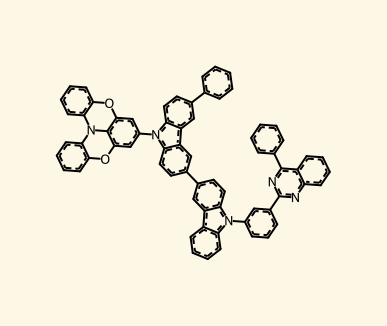 c1ccc(-c2ccc3c(c2)c2cc(-c4ccc5c(c4)c4ccccc4n5-c4cccc(-c5nc(-c6ccccc6)c6ccccc6n5)c4)ccc2n3-c2cc3c4c(c2)Oc2ccccc2N4c2ccccc2O3)cc1